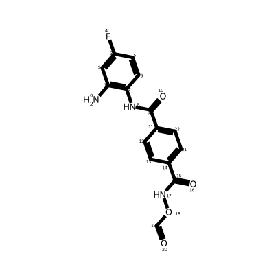 Nc1cc(F)ccc1NC(=O)c1ccc(C(=O)NOC=O)cc1